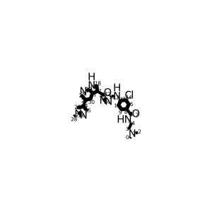 CN(C)CCNC(=O)c1ccc(Nc2nnc(-c3c[nH]c4ncc(-c5cnn(C)c5)cc34)o2)c(Cl)c1